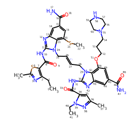 CCc1nc(C)sc1C(=O)Nc1nc2cc(C(N)=O)cc(SC)c2n1C/C=C/Cn1c(NC(=O)c2cc(C)nn2CC)nc2cc(C(N)=O)cc(OCCCN3CCNCC3)c21